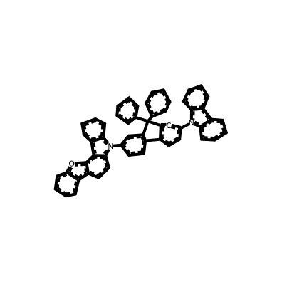 c1ccc(C2(c3ccccc3)c3cc(-n4c5ccccc5c5ccccc54)ccc3-c3ccc(-n4c5ccccc5c5c6oc7ccccc7c6ccc54)cc32)cc1